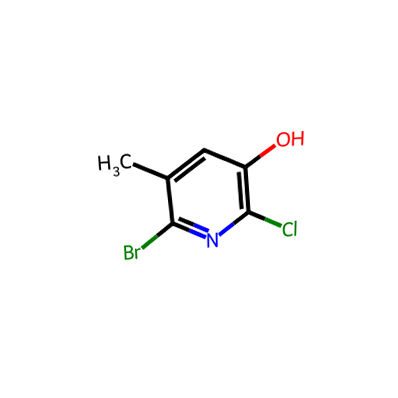 Cc1cc(O)c(Cl)nc1Br